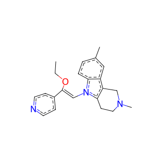 CCOC(=Cn1c2c(c3cc(C)ccc31)CN(C)CC2)c1ccncc1